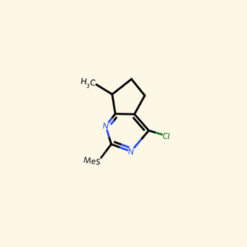 CSc1nc(Cl)c2c(n1)C(C)CC2